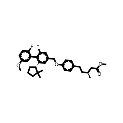 COC(=O)C[C@@H](C)CCc1ccc(OCc2cc(F)c(-c3cc(OC)ccc3F)c([C@H]3CCCC3(C)C)c2)cc1